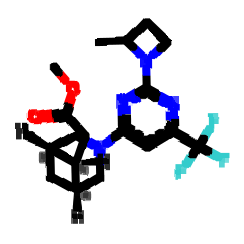 COC(=O)C[C@@H]1[C@@H]2C[C@H]1CN(c1cc(C(F)(F)F)nc(N3CCC3C)n1)C2